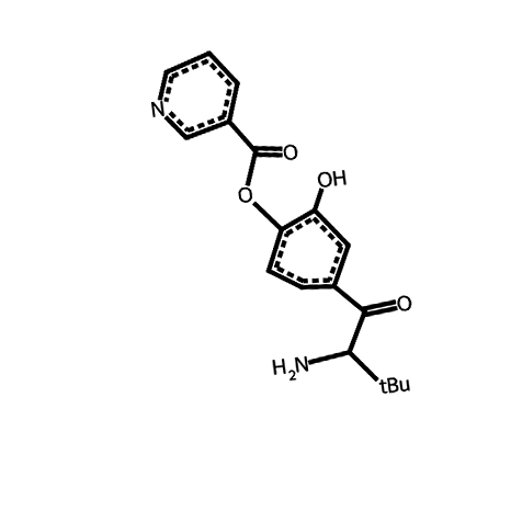 CC(C)(C)C(N)C(=O)c1ccc(OC(=O)c2cccnc2)c(O)c1